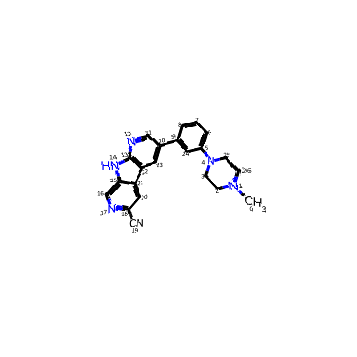 CN1CCN(c2cccc(-c3cnc4[nH]c5cnc(C#N)cc5c4c3)c2)CC1